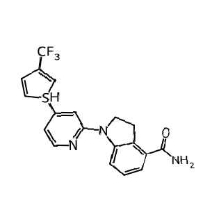 NC(=O)c1cccc2c1CCN2c1cc([SH]2C=CC(C(F)(F)F)=C2)ccn1